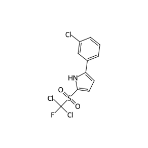 O=S(=O)(c1ccc(-c2cccc(Cl)c2)[nH]1)C(F)(Cl)Cl